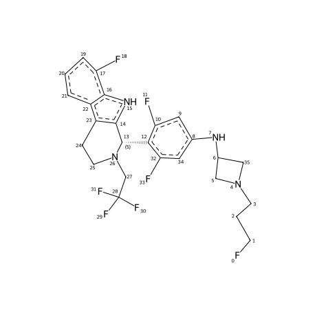 FCCCN1CC(Nc2cc(F)c([C@H]3c4[nH]c5c(F)cccc5c4CCN3CC(F)(F)F)c(F)c2)C1